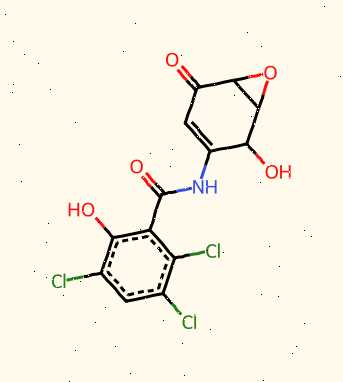 O=C(NC1=CC(=O)C2OC2C1O)c1c(O)c(Cl)cc(Cl)c1Cl